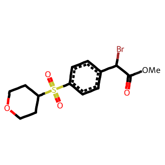 COC(=O)C(Br)c1ccc(S(=O)(=O)C2CCOCC2)cc1